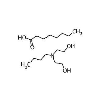 CCCCCCCC(=O)O.CCCCN(CCO)CCO